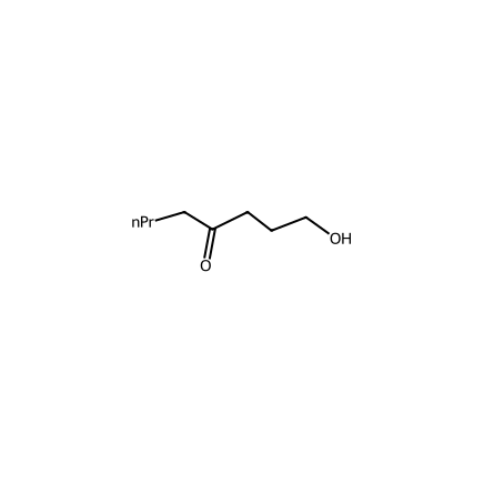 CCCCC(=O)CCCO